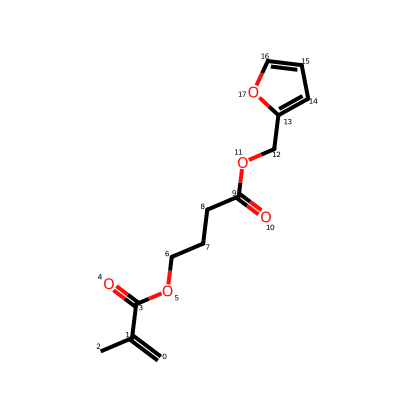 C=C(C)C(=O)OCCCC(=O)OCc1ccco1